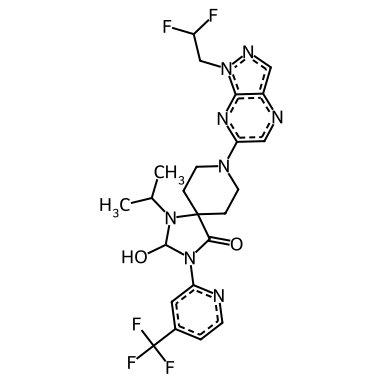 CC(C)N1C(O)N(c2cc(C(F)(F)F)ccn2)C(=O)C12CCN(c1cnc3cnn(CC(F)F)c3n1)CC2